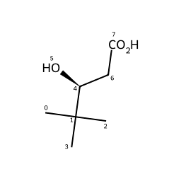 CC(C)(C)[C@@H](O)CC(=O)O